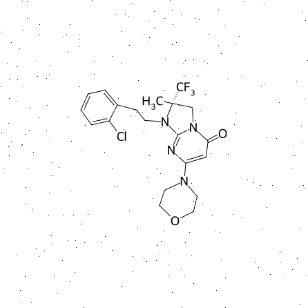 C[C@@]1(C(F)(F)F)Cn2c(nc(N3CCOCC3)cc2=O)N1CCc1ccccc1Cl